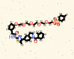 Cc1ccc(S(=O)(=O)OCCOCCOCCOCCOCCOc2cccc(CC(=O)Nc3nc(-c4ccc5c(c4)CCN5C(=O)c4ccccc4C)c(C)s3)c2)cc1